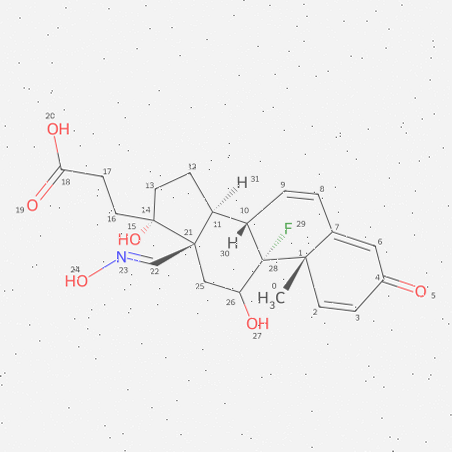 C[C@]12C=CC(=O)C=C1C=C[C@H]1[C@@H]3CC[C@](O)(CCC(=O)O)[C@@]3(C=NO)CC(O)[C@@]12F